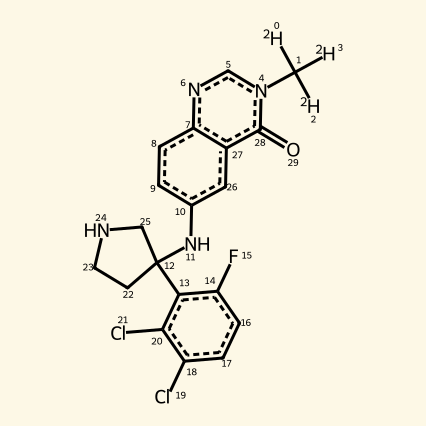 [2H]C([2H])([2H])n1cnc2ccc(NC3(c4c(F)ccc(Cl)c4Cl)CCNC3)cc2c1=O